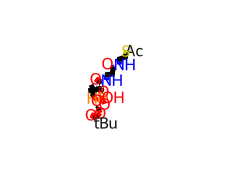 CC(=O)SCCNC(=O)CCNC(=O)[C@@H]1O[PH](O)(OCOC(=O)C(C)(C)C)OCC1(C)C